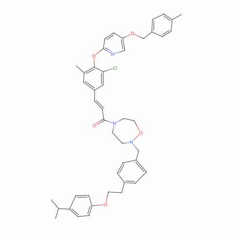 Cc1ccc(COc2ccc(Oc3c(C)cc(C=CC(=O)N4CCON(Cc5ccc(CCOc6ccc(C(C)C)cc6)cc5)CC4)cc3Cl)nc2)cc1